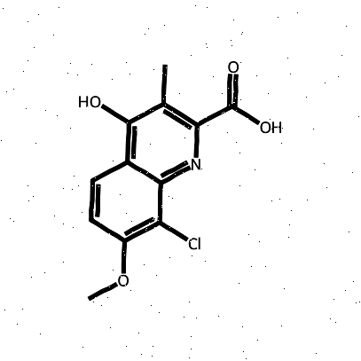 COc1ccc2c(O)c(C)c(C(=O)O)nc2c1Cl